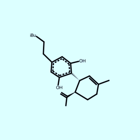 C=C(C)[C@@H]1CCC(C)=C[C@H]1c1c(O)cc(CCC(C)CC)cc1O